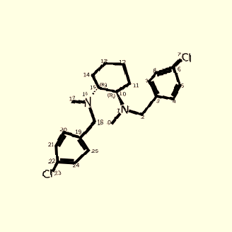 CN(Cc1ccc(Cl)cc1)[C@@H]1CCCC[C@H]1N(C)Cc1ccc(Cl)cc1